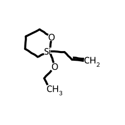 C=CC[Si]1(OCC)CCCCO1